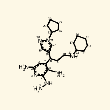 NNc1nc(N)cc(C(CCNC2CCCCC2)c2cnn(C3CCCC3)c2)c1N